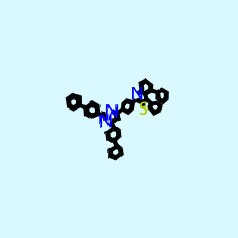 c1ccc(-c2ccc(-c3cc(-c4ccc(-c5nc6cccc(-c7ccccc7)c6c6c5sc5ccccc56)cc4)nc(-c4ccc(-c5ccccc5)cc4)n3)cc2)cc1